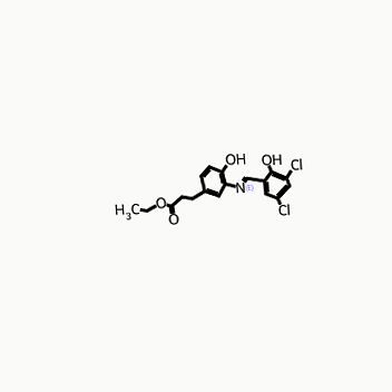 CCOC(=O)CCc1ccc(O)c(/N=C/c2cc(Cl)cc(Cl)c2O)c1